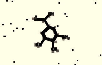 Cc1cc(C(=O)O)cc(N)c1C